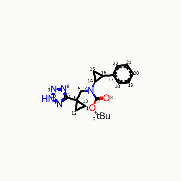 CC(C)(C)OC(=O)N(CC1(c2nn[nH]n2)CC1)[C@H]1CC1c1ccccc1